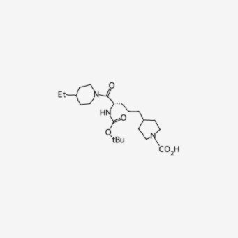 CCC1CCN(C(=O)[C@H](CCCC2CCN(C(=O)O)CC2)NC(=O)OC(C)(C)C)CC1